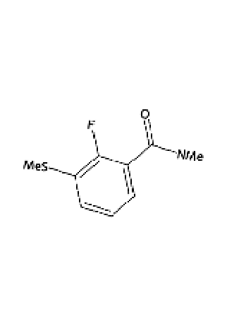 CNC(=O)c1cccc(SC)c1F